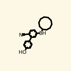 N#Cc1ccc(BC2CCCCCCCCC2)cc1-c1ccc(O)cc1